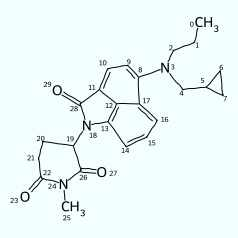 CCCN(CC1CC1)c1ccc2c3c(cccc13)N(C1CCC(=O)N(C)C1=O)C2=O